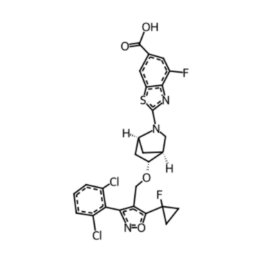 O=C(O)c1cc(F)c2nc(N3C[C@@H]4C[C@H]3C[C@H]4OCc3c(-c4c(Cl)cccc4Cl)noc3C3(F)CC3)sc2c1